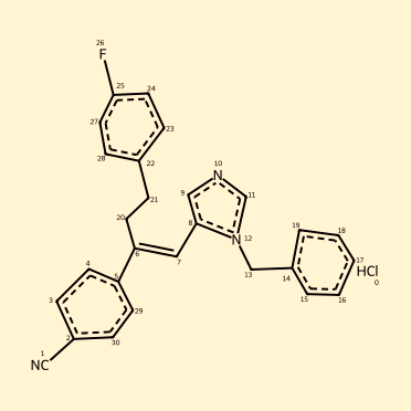 Cl.N#Cc1ccc(C(=Cc2cncn2Cc2ccccc2)CCc2ccc(F)cc2)cc1